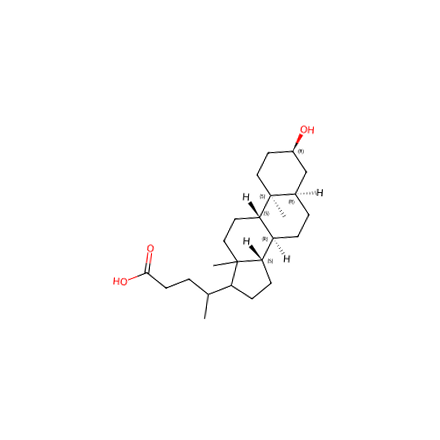 CC(CCC(=O)O)C1CC[C@H]2[C@@H]3CC[C@@H]4C[C@H](O)CC[C@]4(C)[C@H]3CCC12C